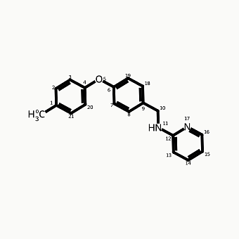 Cc1ccc(Oc2ccc(CNc3ccccn3)cc2)cc1